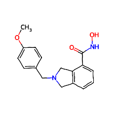 COc1ccc(CN2Cc3cccc(C(=O)NO)c3C2)cc1